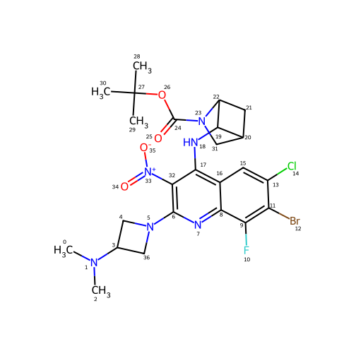 CN(C)C1CN(c2nc3c(F)c(Br)c(Cl)cc3c(NC3C4CC3N(C(=O)OC(C)(C)C)C4)c2[N+](=O)[O-])C1